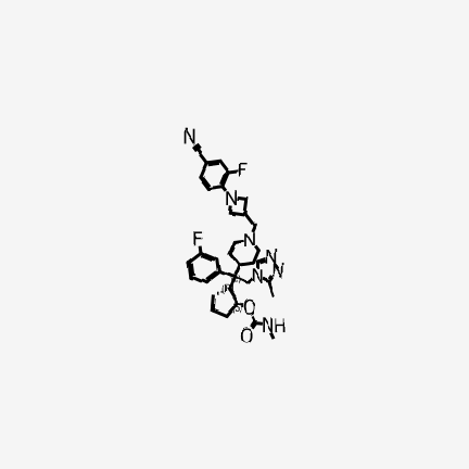 CNC(=O)O[C@H]1CCC[C@@H]1[C@](Cn1cnnc1C)(c1cccc(F)c1)C1CCN(CC2CN(c3ccc(C#N)cc3F)C2)CC1